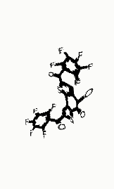 O=C1C(=O)c2sc(C(=O)c3c(F)c(F)c(F)c(F)c3F)cc2-c2sc(C(=O)c3c(F)c(F)c(F)c(F)c3F)cc21